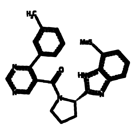 CSc1cccc2nc([C@@H]3CCCN3C(=O)c3cncnc3-c3cccc(C)c3)[nH]c12